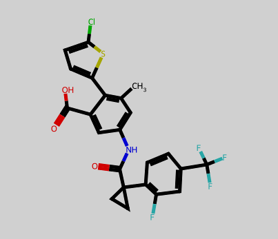 Cc1cc(NC(=O)C2(c3ccc(C(F)(F)F)cc3F)CC2)cc(C(=O)O)c1-c1ccc(Cl)s1